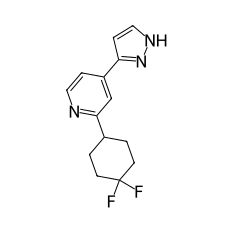 FC1(F)CCC(c2cc(-c3cc[nH]n3)ccn2)CC1